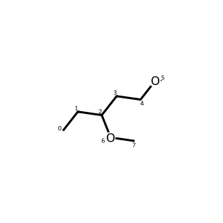 CCC(CC[O])OC